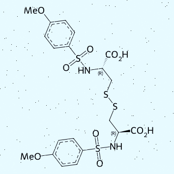 COc1ccc(S(=O)(=O)N[C@@H](CSSC[C@H](NS(=O)(=O)c2ccc(OC)cc2)C(=O)O)C(=O)O)cc1